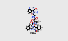 CCCC(NC(=O)C1Cc2ccccc2CN1C(=O)C(NC(=O)OCC(C)C)C1CCCCC1)C(=O)C(=O)NCC(=O)NC(C(N)=O)c1ccccc1